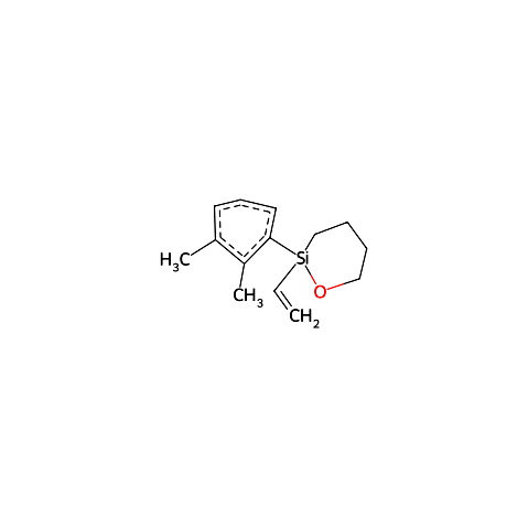 C=C[Si]1(c2cccc(C)c2C)CCCCO1